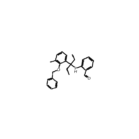 CCC(CC)(Pc1ccccc1C=O)c1cccc(C)c1OCc1ccccc1